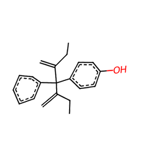 C=C(CC)C(C(=C)CC)(c1ccccc1)c1ccc(O)cc1